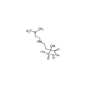 CN(C)CCNCCC(O)(C(=O)O)P(=O)(O)O